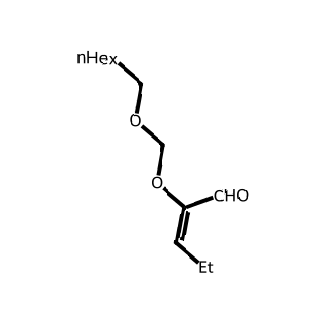 CC/C=C(\C=O)OCOCCCCCCC